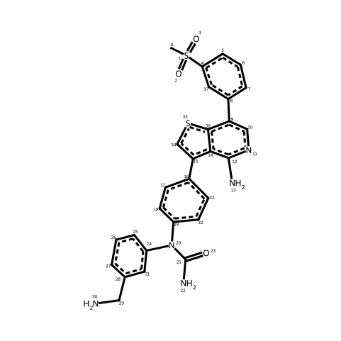 CS(=O)(=O)c1cccc(-c2cnc(N)c3c(-c4ccc(N(C(N)=O)c5cccc(CN)c5)cc4)csc23)c1